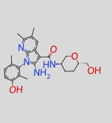 Cc1cc2c(C(=O)N[C@@H]3CC[C@@H](CO)OC3)c(N)n(-c3c(C)ccc(O)c3C)c2nc1C